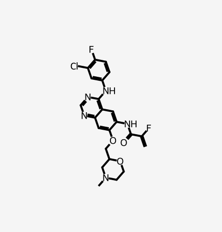 C=C(F)C(=O)Nc1cc2c(Nc3ccc(F)c(Cl)c3)ncnc2cc1OCC1CN(C)CCO1